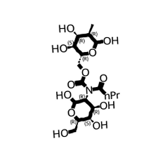 CCCC(=O)N(C(=O)OC[C@H]1OC(O)[C@H](C)[C@@H](O)[C@@H]1O)[C@H]1C(O)O[C@H](CO)[C@@H](O)[C@@H]1O